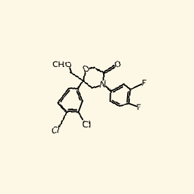 O=CCC1(c2ccc(Cl)c(Cl)c2)CN(c2ccc(F)c(F)c2)C(=O)CO1